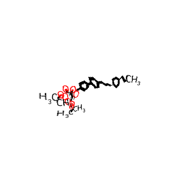 CCC[C@H]1CC[C@H](CCCCc2ccc(-c3ccc(C4O[C@@H](C(=O)OOC(C)C)[C@H](C(=O)OOC(C)C)O4)cc3)cc2)CC1